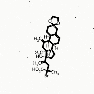 C=C1C[C@@]2(C)[C@@H](CC[C@@]2(O)C(=C)C[C@](C)(Br)C(=O)O)[C@@H]2CC=C3CC4(CC[C@@H]3[C@@H]12)OCCO4